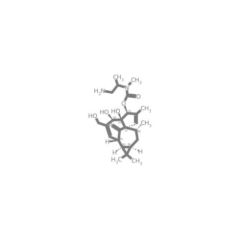 CC1=C[C@]23C(=O)[C@@H](C=C(CO)[C@@H](O)[C@]2(O)[C@H]1OC(=O)N(C)C(C)CN)[C@H]1[C@@H](C[C@H]3C)C1(C)C